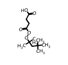 CC(C)(C)CC(C)(C)OOC(=O)CCC(=O)O